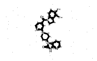 O=C(c1ccnc(N2CCC(n3c(=O)[nH]c4ncccc43)CC2)c1)N1CCc2c1ccc(F)c2F